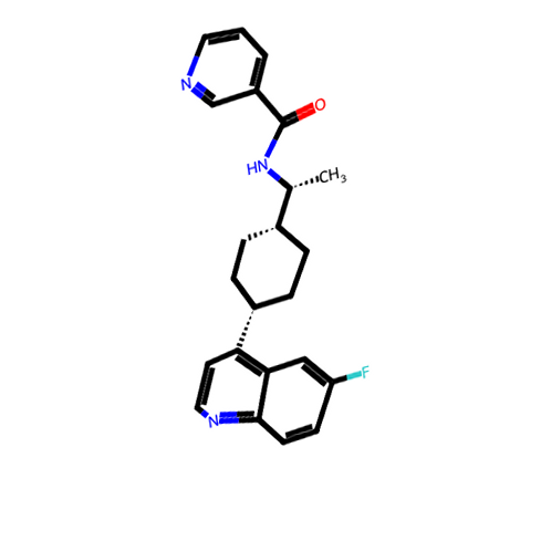 C[C@@H](NC(=O)c1cccnc1)[C@H]1CC[C@@H](c2ccnc3ccc(F)cc32)CC1